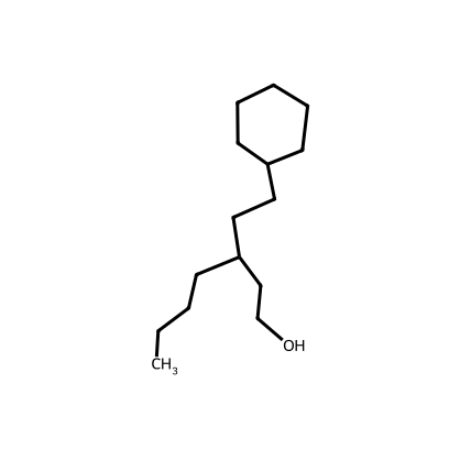 CCCCC(CCO)CCC1CCCCC1